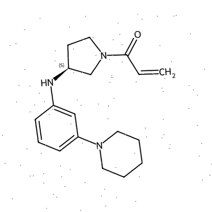 C=CC(=O)N1CC[C@H](Nc2cccc(N3CCCCC3)c2)C1